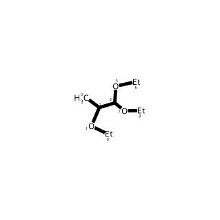 CCOC(C)C(OCC)OCC